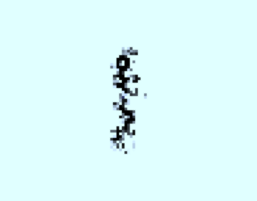 C/C(=N\NC(=O)c1ccc(C(=O)NCCC(=O)O)s1)c1csc(-c2ccc(C(C)(C)C)cc2)c1O